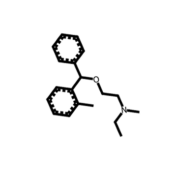 CCN(C)CCOC(c1ccccc1)c1ccccc1C